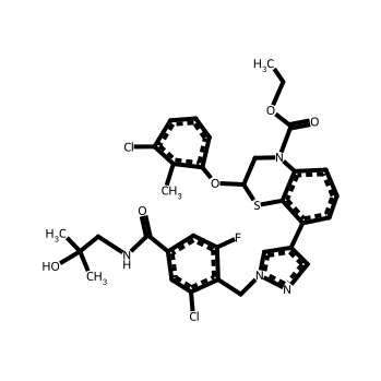 CCOC(=O)N1CC(Oc2cccc(Cl)c2C)Sc2c(-c3cnn(Cc4c(F)cc(C(=O)NCC(C)(C)O)cc4Cl)c3)cccc21